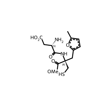 COC(=O)[C@@](CS)(Cc1ccc(C)o1)NC(=O)[C@@H](N)CC(=O)O